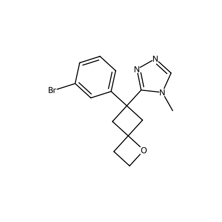 Cn1cnnc1C1(c2cccc(Br)c2)CC2(CCO2)C1